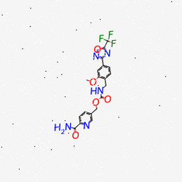 COc1cc(-c2noc(C(F)(F)F)n2)ccc1CNC(=O)OCc1ccc(C(N)=O)nc1